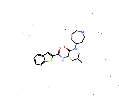 CC(C)C[C@H](NC(=O)c1cc2ccccc2s1)C(=O)NC1CCCNCC1